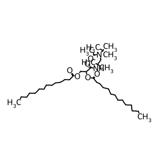 CCCCCCCCCCCCCC(=O)OCC(OC(=O)CCCCCCCCCCCCC)C(=O)NC(C)(C)CN(C(C)=O)C(C)(C)C